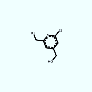 CCc1cc(CO)cc(CO)n1